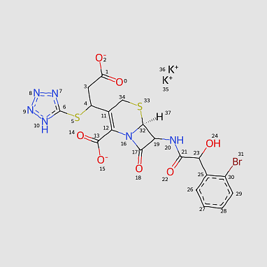 O=C([O-])CC(Sc1nnn[nH]1)C1=C(C(=O)[O-])N2C(=O)C(NC(=O)C(O)c3ccccc3Br)[C@@H]2SC1.[K+].[K+]